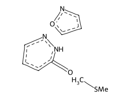 CSC.O=c1cccn[nH]1.c1cnoc1